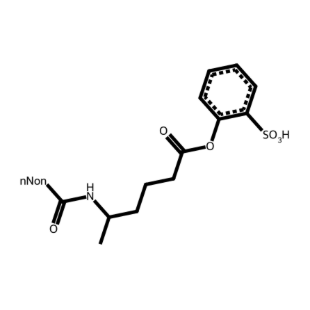 CCCCCCCCCC(=O)NC(C)CCCC(=O)Oc1ccccc1S(=O)(=O)O